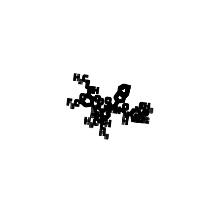 C=CCNC(=O)C(=O)C(CCC(F)(F)F)NC(=O)[C@@H]1[C@@H]2[C@H](CN1C(=O)[C@@H](NC(=O)N[C@H](CN(C)S(=O)(=O)CC)C(C)(C)C)C1Cc3ccccc3C1)C2(C)C